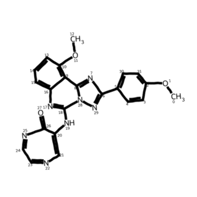 COc1ccc(-c2nc3c4c(OC)cccc4nc(Nc4cnccnc4=O)n3n2)cc1